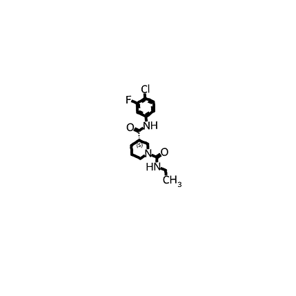 CCNC(=O)N1CCC[C@H](C(=O)Nc2ccc(Cl)c(F)c2)C1